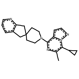 Cc1nc(N2CCC3(CC2)Cc2cccnc2C3)c2ccnn2c1C1CC1